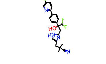 CC(C)(C#N)Cc1c[nH]c(CC(O)(c2ccc(-c3ccc(F)cn3)cc2)C(F)F)n1